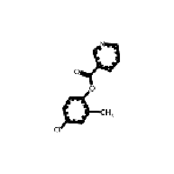 Cc1cc(Cl)ccc1OC(=O)c1cccnc1